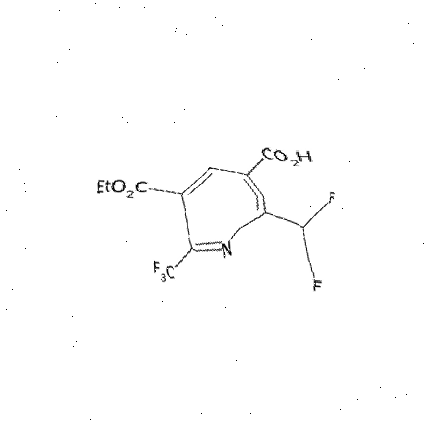 CCOC(=O)c1cc(C(=O)O)c(C(F)F)nc1C(F)(F)F